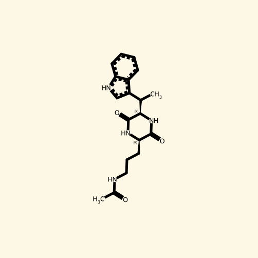 CC(=O)NCCC[C@H]1NC(=O)[C@@H](C(C)c2c[nH]c3ccccc23)NC1=O